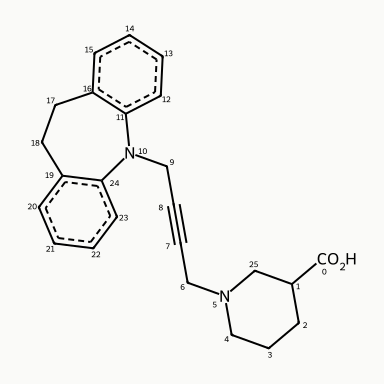 O=C(O)C1CCCN(CC#CCN2c3ccccc3CCc3ccccc32)C1